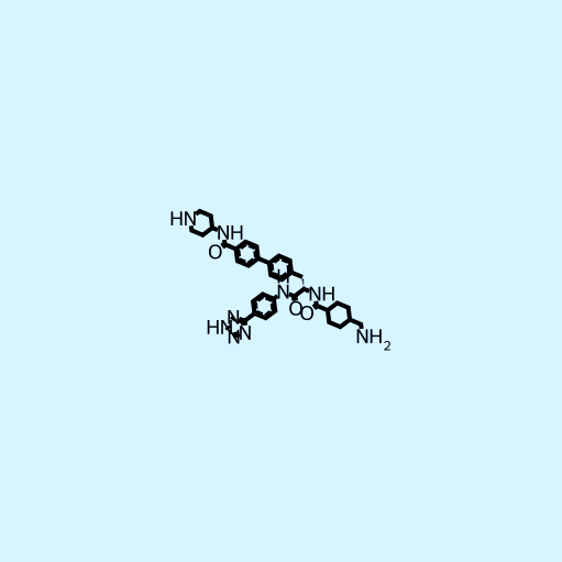 NCC1CCC(C(=O)N[C@@H](Cc2ccc(-c3ccc(C(=O)NC4CCNCC4)cc3)cc2)C(=O)Nc2ccc(-c3nn[nH]n3)cc2)CC1